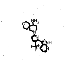 NC1CCN(c2ccc(C(F)(F)F)c(-c3n[nH]c4ncccc34)n2)CC12CCOCC2